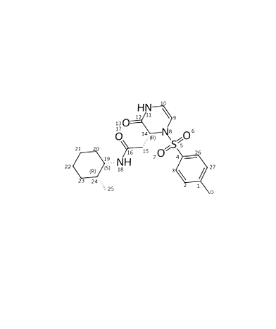 Cc1ccc(S(=O)(=O)N2C=CNC(=O)[C@H]2CC(=O)N[C@H]2CCCC[C@H]2C)cc1